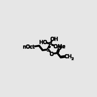 C=CC(=O)OS(CCCCCCCCCC)=P(O)(O)OC